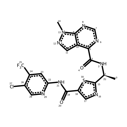 C[C@H](NC(=O)c1ncnc2c1cnn2C)c1ncc(C(=O)Nc2cc(C(F)(F)F)c(Cl)cn2)s1